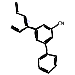 C=C/C=C(\C=C)c1cc(C#N)cc(-c2ccccc2)c1